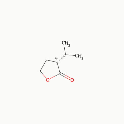 CC(C)[C@H]1CCOC1=O